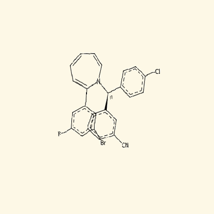 N#Cc1cccc([C@H](c2ccc(Cl)cc2)N2C=CC=CC=C2c2cc(F)cc(Br)c2)c1